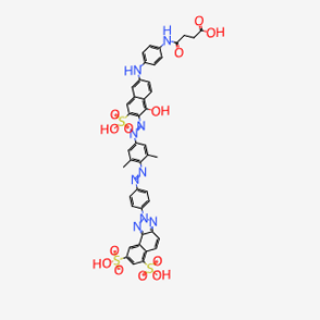 Cc1cc(N=Nc2c(S(=O)(=O)O)cc3cc(Nc4ccc(NC(=O)CCC(=O)O)cc4)ccc3c2O)cc(C)c1N=Nc1ccc(-n2nc3ccc4c(S(=O)(=O)O)cc(S(=O)(=O)O)cc4c3n2)cc1